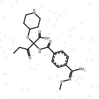 CCC(=O)C(NC(=O)c1ccc(/C(N)=N\OC)cc1)(OC1CCNCC1)C(=O)O